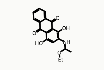 CCOC(C)Nc1cc(O)c2c(c1O)C(=O)c1ccccc1C2=O